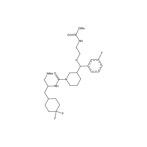 CNCC(CC1CCC(F)(F)CC1)NC(=O)N1CCCC(C(OCCNC(=O)OC)c2cccc(F)c2)C1